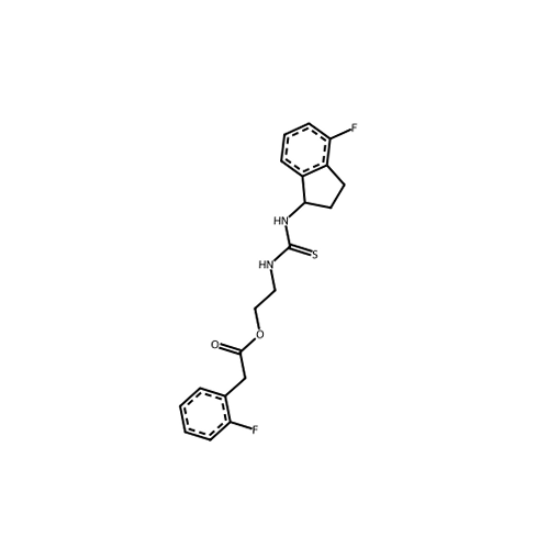 O=C(Cc1ccccc1F)OCCNC(=S)NC1CCc2c(F)cccc21